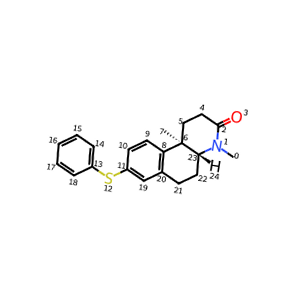 CN1C(=O)CC[C@]2(C)c3ccc(Sc4ccccc4)cc3CC[C@@H]12